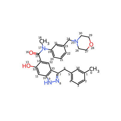 Cc1cccc(Cc2n[nH]c3cc(O)c(C(=O)N(C)c4cccc(CN5CCOCC5)c4)cc23)c1